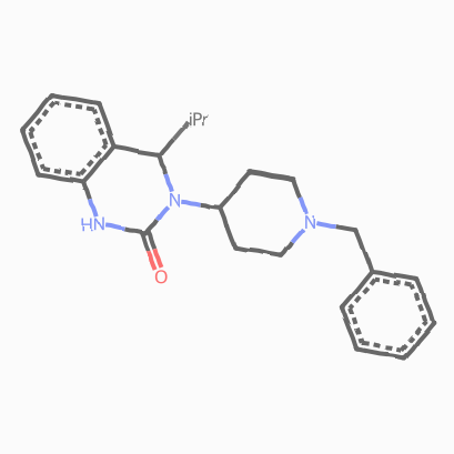 CC(C)C1c2ccccc2NC(=O)N1C1CCN(Cc2ccccc2)CC1